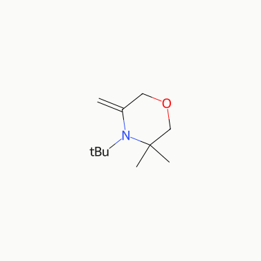 C=C1COCC(C)(C)N1C(C)(C)C